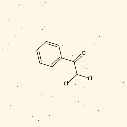 O=C(c1cc[c]cc1)C(Cl)Cl